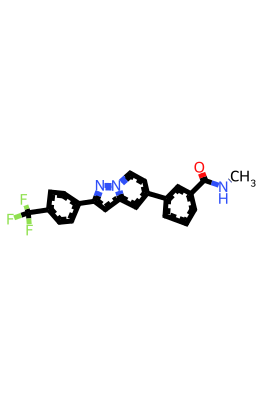 CNC(=O)c1cccc(-c2ccn3nc(-c4ccc(C(F)(F)F)cc4)cc3c2)c1